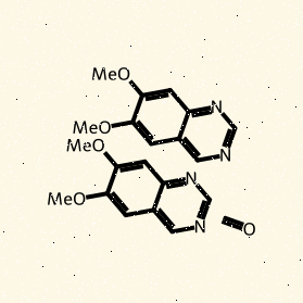 C=O.COc1cc2cncnc2cc1OC.COc1cc2cncnc2cc1OC